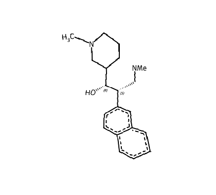 CNC[C@H](c1ccc2ccccc2c1)[C@H](O)C1CCCN(C)C1